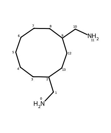 NCC1CCCCCCC(CN)CC1